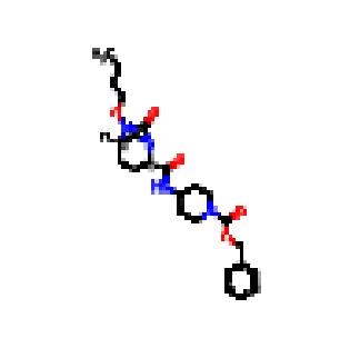 CCCCON1C(=O)N2C[C@H]1CC[C@H]2C(=O)NC1CCN(C(=O)OCc2ccccc2)CC1